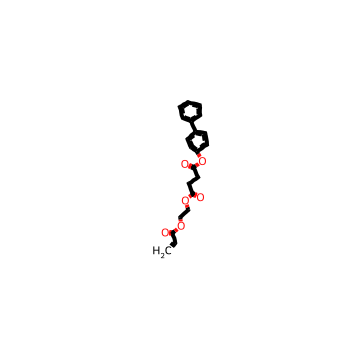 C=CC(=O)OCCOC(=O)CCC(=O)Oc1ccc(-c2ccccc2)cc1